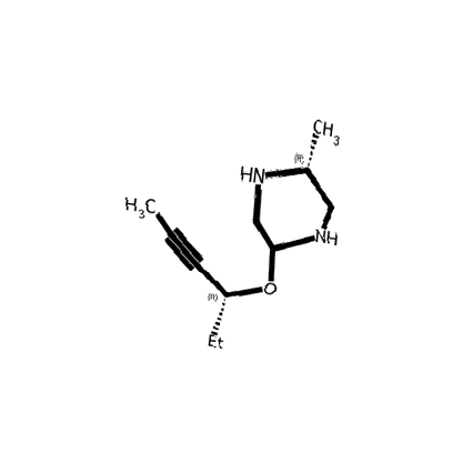 CC#C[C@@H](CC)OC1CN[C@H](C)CN1